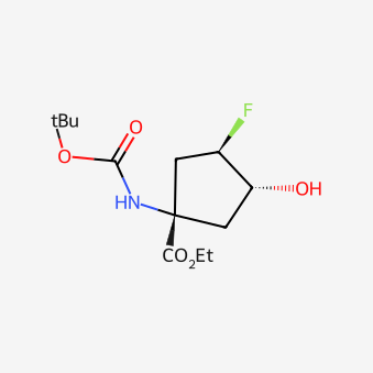 CCOC(=O)[C@]1(NC(=O)OC(C)(C)C)C[C@@H](O)[C@H](F)C1